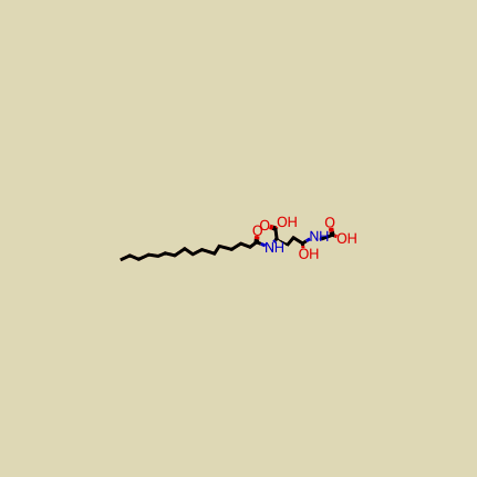 CCCCCCCCCCCCCCCC(=O)N[C@H](CCC(O)NCC(=O)O)C(=O)O